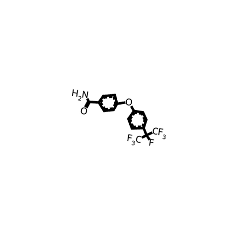 NC(=O)c1ccc(Oc2ccc(C(F)(C(F)(F)F)C(F)(F)F)cc2)cc1